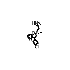 O=C(CC(c1ccc(Cl)cc1)c1ccccn1)NCCc1c[nH]cn1